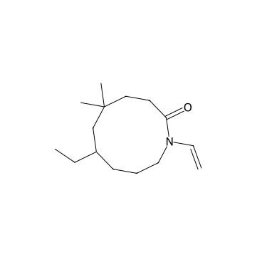 C=CN1CCCC(CC)CC(C)(C)CCC1=O